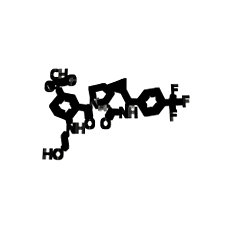 CS(=O)(=O)c1ccc(NCCO)c(C(=O)N2CCC[C@@H]2C(=O)N[C@@H](c2ccc(C(F)(F)F)cc2)C2CC2)c1